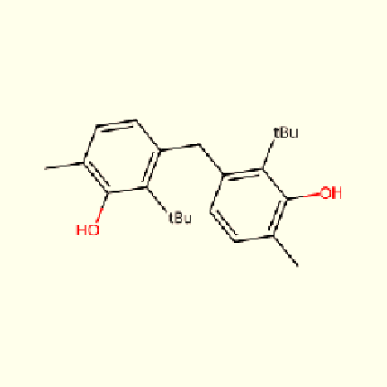 Cc1ccc(Cc2ccc(C)c(O)c2C(C)(C)C)c(C(C)(C)C)c1O